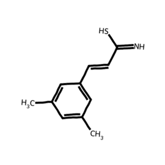 Cc1cc(C)cc(/C=C/C(=N)S)c1